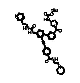 CC(C)(C)OC(=O)NC1CCN(C(=O)c2cccc(-c3ccc(NC(=O)NCCc4cccnc4)cc3C#Cc3ccc(C(=O)NCCN4CCCCC4)cc3)c2)C1